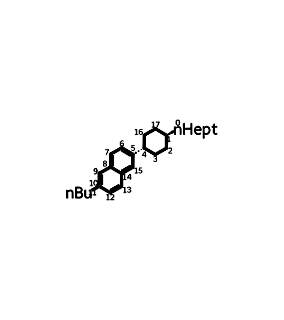 CCCCCCC[C@H]1CC[C@H](c2ccc3cc(CCCC)ccc3c2)CC1